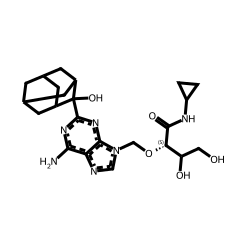 Nc1nc(C2(O)C3CC4CC(C3)CC2C4)nc2c1ncn2CO[C@H](C(=O)NC1CC1)C(O)CO